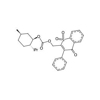 CC(C)[C@@H]1CC[C@@H](C)C[C@H]1OC(=O)OCC1=C(c2ccccc2)C(=O)c2ccccc2S1(=O)=O